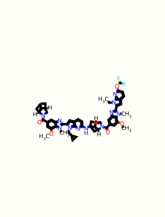 CCn1c(-c2nc3cc(C(=O)N4C[C@H]5CC6(Nc7ccc8cc(-c9nc%10cc(C(=O)N%11C[C@H]%12CC%13C[C@@H]%11[C@H]%13%12)cc(OC)c%10n9C)n(CC9CC9)c8n7)C[C@@H]4[C@@H]56)cc(OC)c3n2C)cc2ccc(OC(F)F)nc21